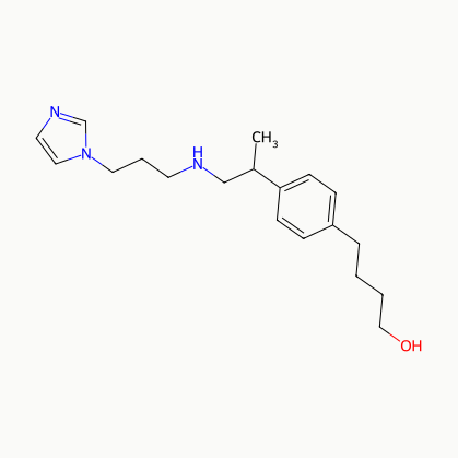 CC(CNCCCn1ccnc1)c1ccc(CCCCO)cc1